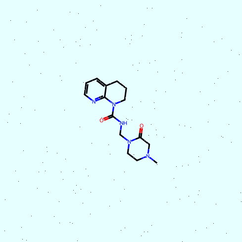 CN1CCN(CNC(=O)N2CCCc3cccnc32)C(=O)C1